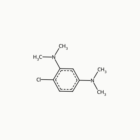 CN(C)c1ccc(Cl)c(N(C)C)c1